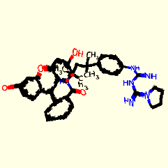 CC(C)(CC(C)(C)c1ccc(NC(=N)NC(=N)N2CCCC2)cc1)NC(=O)c1ccccc1-c1c2ccc(=O)cc-2oc2cc(O)ccc12